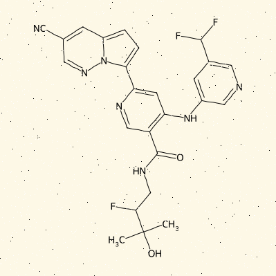 CC(C)(O)C(F)CNC(=O)c1cnc(-c2ccc3cc(C#N)cnn23)cc1Nc1cncc(C(F)F)c1